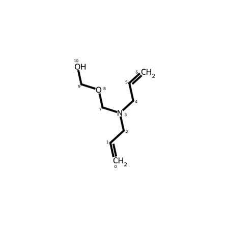 C=CCN(CC=C)COCO